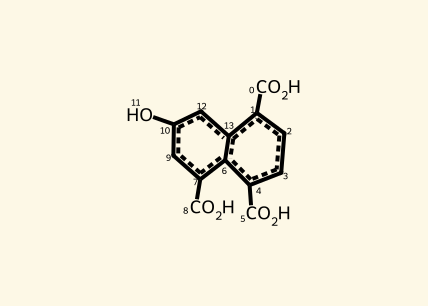 O=C(O)c1ccc(C(=O)O)c2c(C(=O)O)cc(O)cc12